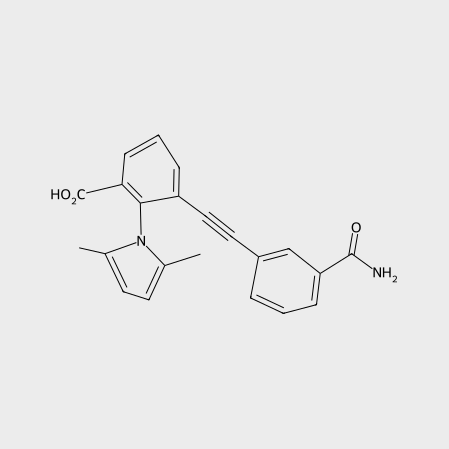 Cc1ccc(C)n1-c1c(C#Cc2cccc(C(N)=O)c2)cccc1C(=O)O